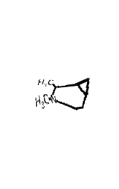 CC1C2CC2CCN1C